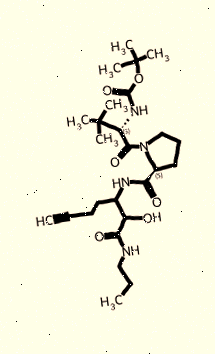 C#CCCC(NC(=O)[C@@H]1CCCN1C(=O)[C@@H](NC(=O)OC(C)(C)C)C(C)(C)C)C(O)C(=O)NCCC